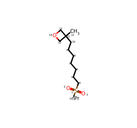 CCCS(=O)(=O)CCCCCCCC1(C)COC1